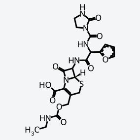 CCNC(=O)OCC1=C(C(=O)O)N2C(=O)C(NC(=O)C(NC(=O)N3CCNC3=O)c3ccco3)[C@@H]2SC1